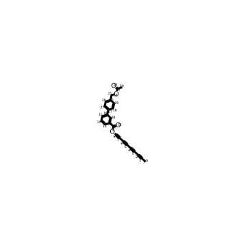 CC#CC#CC#CC#COC(=O)c1cccc(-c2ccc(COC(C)=O)cc2)c1